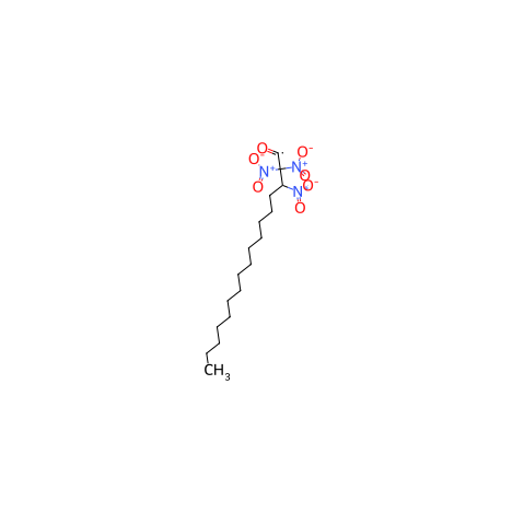 CCCCCCCCCCCCCCC([N+](=O)[O-])C([C]=O)([N+](=O)[O-])[N+](=O)[O-]